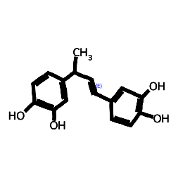 CC(/C=C/c1ccc(O)c(O)c1)c1ccc(O)c(O)c1